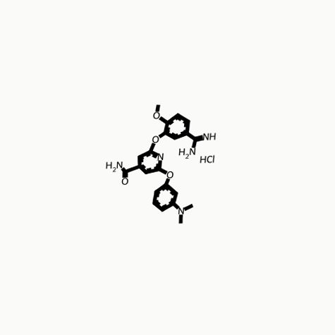 COc1ccc(C(=N)N)cc1Oc1cc(C(N)=O)cc(Oc2cccc(N(C)C)c2)n1.Cl